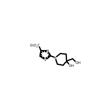 CCOC(=O)c1csc(N2CCC(O)(CO)CC2)n1